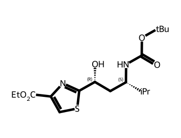 CCOC(=O)c1csc([C@H](O)C[C@H](NC(=O)OC(C)(C)C)C(C)C)n1